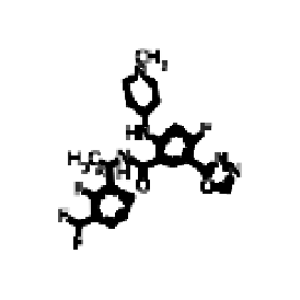 C[C@@H](NC(=O)c1cc(-c2nnco2)c(F)cc1NC1CCN(C)CC1)c1cccc(C(F)F)c1F